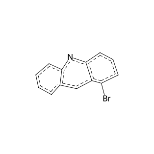 Brc1cccc2nc3ccccc3cc12